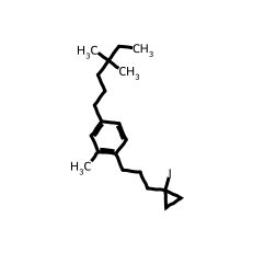 CCC(C)(C)CCCc1ccc(CCCC2(I)CC2)c(C)c1